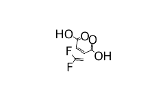 C=C(F)F.O=C(O)/C=C\C(=O)O